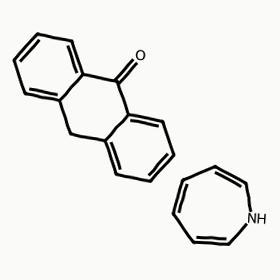 C1=CC=CNC=C1.O=C1c2ccccc2Cc2ccccc21